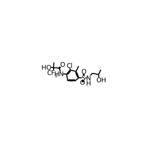 Cc1c(S(=O)(=O)NCC(C)O)ccc(NC(=O)C(C)(O)C(F)(F)F)c1Cl